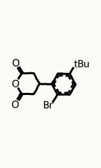 CC(C)(C)c1ccc(Br)c(C2CC(=O)OC(=O)C2)c1